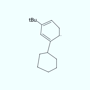 CC(C)(C)C1=CC[CH]C(C2CCCCC2)=C1